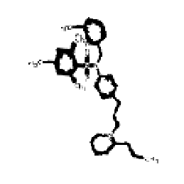 CCCC1CCCCN1CCCc1ccc(N(Cc2cccc(O)c2)S(=O)(=O)c2c(C)cc(C)cc2C)cc1